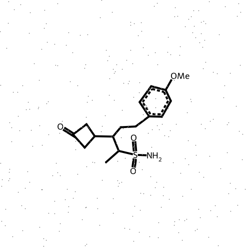 COc1ccc(CCC(C2CC(=O)C2)C(C)S(N)(=O)=O)cc1